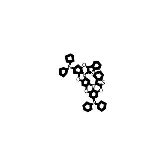 c1ccc(N(c2ccccc2)c2cc3c4c(c2)Oc2c(sc5ccccc25)B4c2cc4c(cc2O3)Oc2cc(N(c3ccccc3)c3ccccc3)cc3c2B4c2c(sc4ccccc24)O3)cc1